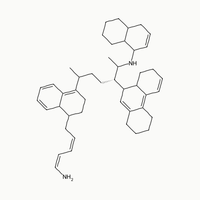 CC(CC[C@H](C(C)NC1C=CCC2CCCCC21)C1C=C2CCCCC2=C2C=CCCC21)C1=C2C=CC=CC2C(C/C=C\C=C/N)CC1